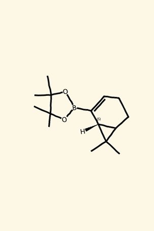 CC1(C)C2CCC=C(B3OC(C)(C)C(C)(C)O3)[C@H]21